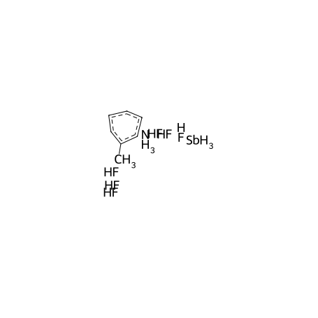 Cc1ccccc1.F.F.F.F.F.F.N.[SbH3]